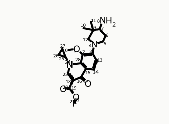 COc1c(N2CCC(N)C(C)(C)C2)ccc2c(=O)c(C(=O)OF)cn(C3CC3)c12